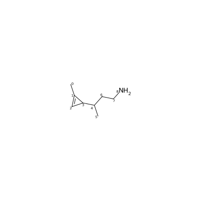 CC1=CC1C(C)CCN